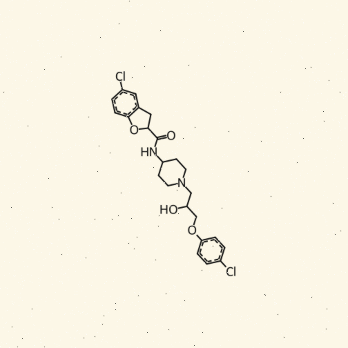 O=C(NC1CCN(CC(O)COc2ccc(Cl)cc2)CC1)C1Cc2cc(Cl)ccc2O1